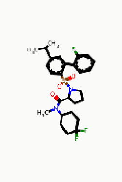 CC(C)c1ccc(S(=O)(=O)N2CCC[C@H]2C(=O)N(C)C2CCC(F)(F)CC2)c(-c2ccccc2F)c1